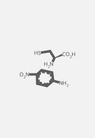 N[C@@H](CS)C(=O)O.Nc1ccc([N+](=O)[O-])cc1